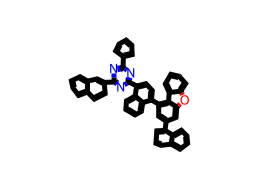 c1ccc(-c2nc(-c3ccc4ccccc4c3)nc(-c3ccc(-c4cc(-c5cccc6ccccc56)cc5oc6ccccc6c45)c4ccccc34)n2)cc1